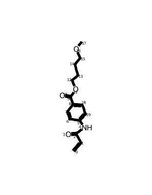 C=CC(=O)Nc1ccc(C(=O)OCCCCOC)cc1